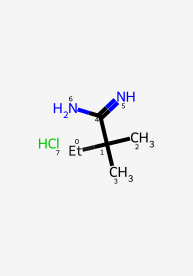 CCC(C)(C)C(=N)N.Cl